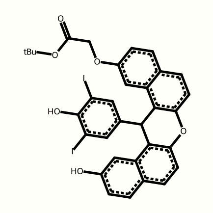 CC(C)(C)OC(=O)COc1ccc2ccc3c(c2c1)C(c1cc(I)c(O)c(I)c1)c1c(ccc2ccc(O)cc12)O3